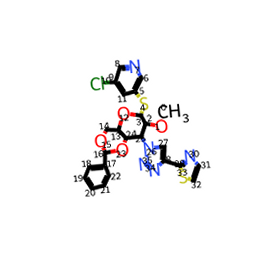 COC1C(Sc2cncc(Cl)c2)OC2COC(c3ccccc3)OC2C1n1cc(-c2nccs2)nn1